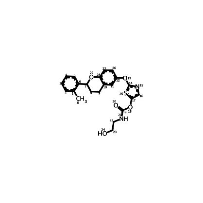 Cc1ccccc1C1CCc2cc(Oc3ncc(OC(=O)NCCO)s3)ccc2O1